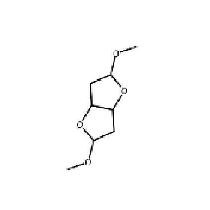 COC1CC2OC(OC)CC2O1